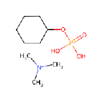 CN(C)C.O=P(O)(O)OC1CCCCC1